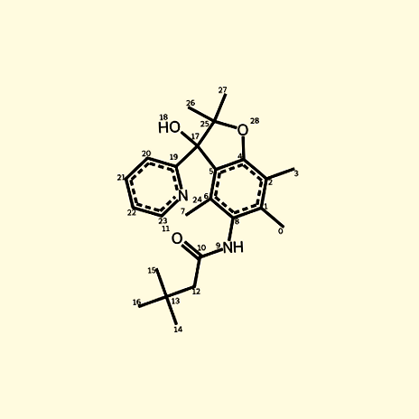 Cc1c(C)c2c(c(C)c1NC(=O)CC(C)(C)C)C(O)(c1ccccn1)C(C)(C)O2